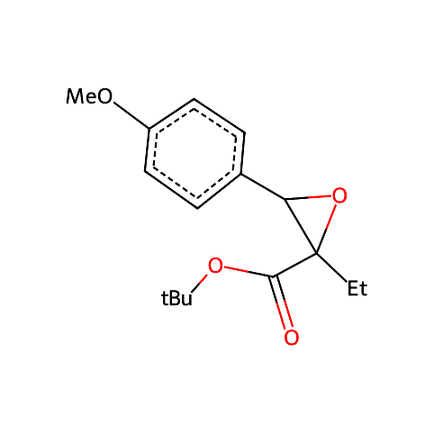 CCC1(C(=O)OC(C)(C)C)OC1c1ccc(OC)cc1